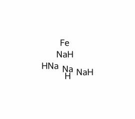 [Fe].[NaH].[NaH].[NaH].[NaH]